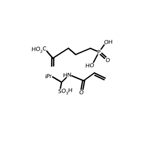 C=C(CCCP(=O)(O)O)C(=O)O.C=CC(=O)NC(C(C)C)S(=O)(=O)O